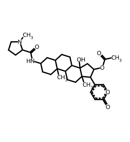 CC(=O)OC1CC2(O)C3CCC4CC(NC(=O)C5CCCN5C)CCC4(C)C3CCC2(C)C1c1ccc(=O)oc1